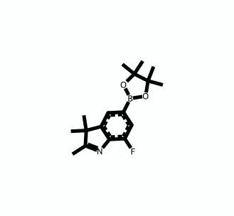 CC1=Nc2c(F)cc(B3OC(C)(C)C(C)(C)O3)cc2C1(C)C